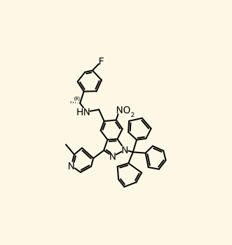 Cc1cc(-c2nn(C(c3ccccc3)(c3ccccc3)c3ccccc3)c3cc([N+](=O)[O-])c(CN[C@H](C)c4ccc(F)cc4)cc23)ccn1